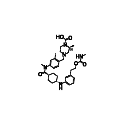 CNC(=O)OCCc1cccc(N[C@H]2CC[C@H](C(=O)N(C)c3ccc(CN4CCN(C(=O)O)[C@@H](C)C4)c(C)c3)CC2)c1